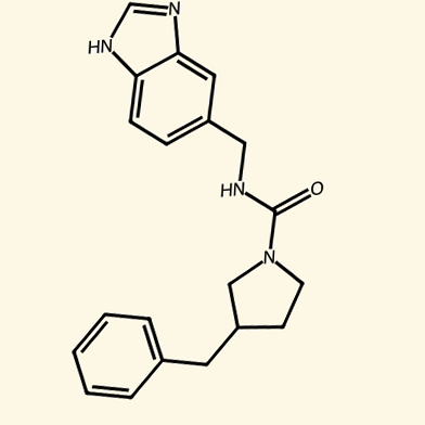 O=C(NCc1ccc2[nH]cnc2c1)N1CCC(Cc2ccccc2)C1